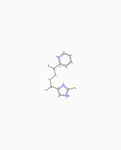 Cc1nc(C(C)CCC(C)c2ccccn2)c[nH]1